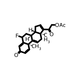 CC(=O)OCC(=O)C1=CC[C@H]2[C@@H]3CC(F)C4=CC(=O)C=C[C@]4(C)C3=CC[C@]12C